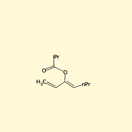 C=CC(=CCCC)OC(=O)C(C)C